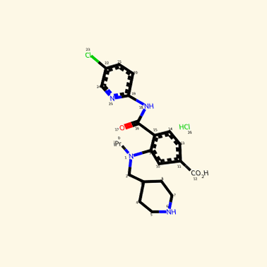 CC(C)N(CC1CCNCC1)c1cc(C(=O)O)ccc1C(=O)Nc1ccc(Cl)cn1.Cl